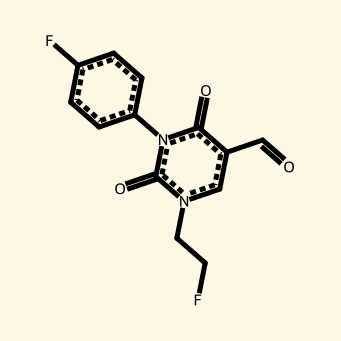 O=Cc1cn(CCF)c(=O)n(-c2ccc(F)cc2)c1=O